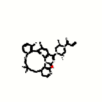 C=CC(=O)N1C[C@H](C)N(c2nc(=O)n3c4nc(c(F)cc24)C2=C(F)C=CCC2OCC(F)(F)CCC2CC=NC(C(C)C)=C23)C[C@H]1C